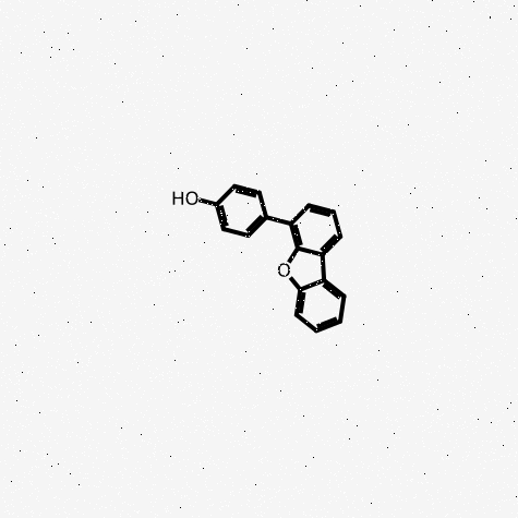 Oc1ccc(-c2cccc3c2oc2ccccc23)cc1